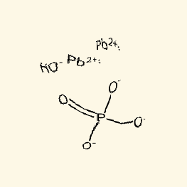 O=P([O-])([O-])[O-].[OH-].[Pb+2].[Pb+2]